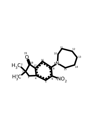 CC1(C)Cc2cc([N+](=O)[O-])c(N3CCCCCC3)cc2C1=O